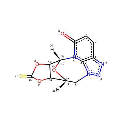 O=c1ccc2nnn3c2n1[C@@H]1O[C@H](C3)C2OC(=S)OC21